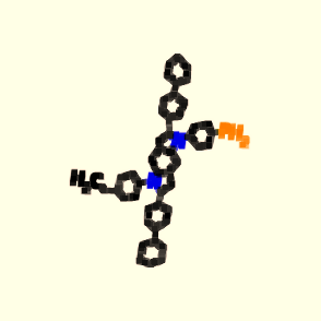 C=Cc1ccc(-n2c(-c3ccc(-c4ccccc4)cc3)cc3cc4c(cc(-c5ccc(-c6ccccc6)cc5)n4-c4ccc(P)cc4)cc32)cc1